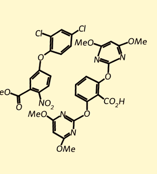 COC(=O)c1cc(Oc2ccc(Cl)cc2Cl)ccc1[N+](=O)[O-].COc1cc(OC)nc(Oc2cccc(Oc3nc(OC)cc(OC)n3)c2C(=O)O)n1